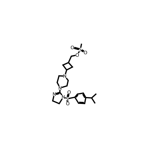 CC(C)c1ccc(S(=O)(=O)N2CCN=C2N2CCN(C3CC(COS(C)(=O)=O)C3)CC2)cc1